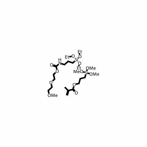 C=C(C)C(=O)OCCC[Si](OC)(OC)OC.CCO[Si](CCCNC(=O)OCCOCCOC)(OCC)OCC